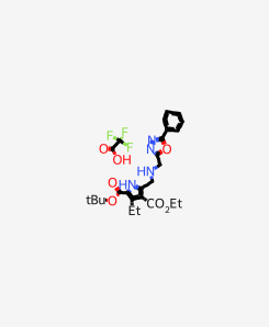 CCOC(=O)c1c(CNCc2nnc(-c3ccccc3)o2)[nH]c(C(=O)OC(C)(C)C)c1CC.O=C(O)C(F)(F)F